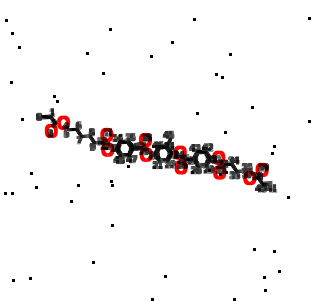 C=CC(=O)OCCCCCC(=O)Oc1ccc(C(=O)Oc2ccc(OC(=O)c3ccc(OC(=O)CCCOC(=O)C=C)cc3)c(C)c2)cc1